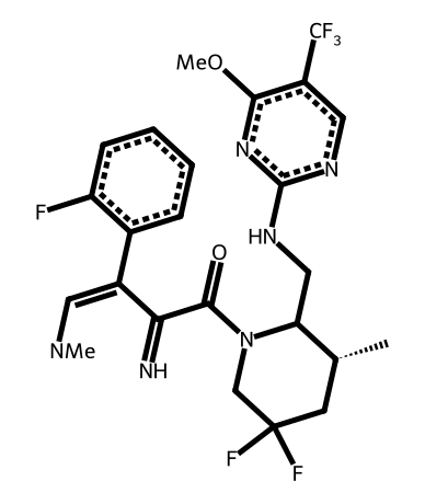 CN/C=C(\C(=N)C(=O)N1CC(F)(F)C[C@@H](C)C1CNc1ncc(C(F)(F)F)c(OC)n1)c1ccccc1F